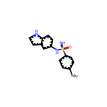 CCCCc1ccc(S(=N)(=O)Nc2ccc3[nH]ccc3c2)cc1